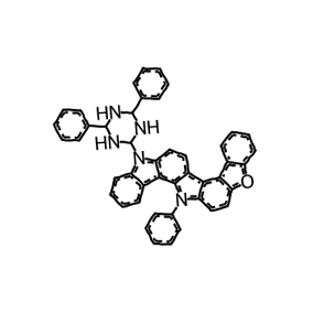 c1ccc(C2NC(c3ccccc3)NC(n3c4ccccc4c4c5c(ccc43)c3c4c(ccc3n5-c3ccccc3)oc3ccccc34)N2)cc1